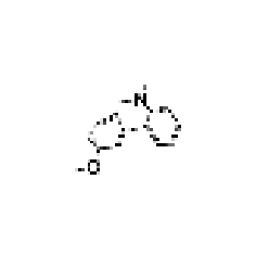 COc1cc[c]c(-c2ccccc2N(C)C)c1